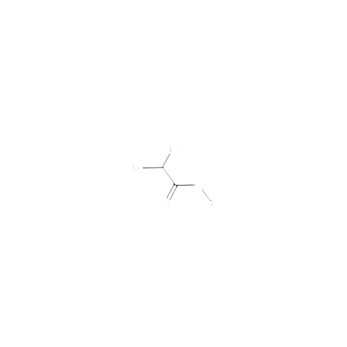 CCC(CC)C(=O)OI